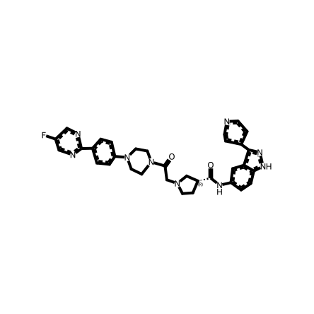 O=C(Nc1ccc2[nH]nc(-c3ccncc3)c2c1)[C@@H]1CCN(CC(=O)N2CCN(c3ccc(-c4ncc(F)cn4)cc3)CC2)C1